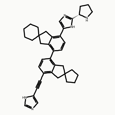 C(#Cc1ccc(-c2ccc(-c3cnc([C@@H]4CCCN4)[nH]3)c3c2CC2(CCCCC2)C3)c2c1CC1(CCCC1)C2)c1cnc[nH]1